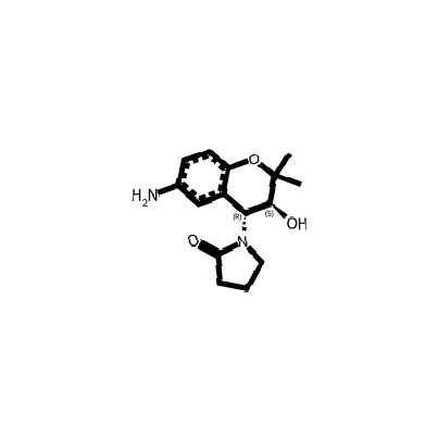 CC1(C)Oc2ccc(N)cc2[C@@H](N2CCCC2=O)[C@@H]1O